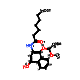 CCCCCCCCCCCCCCCC(=O)Nc1cc(O)c2ccccc2c1OC(OC)OCC